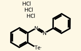 Cl.Cl.Cl.[Te]c1ccccc1N=Nc1ccccc1